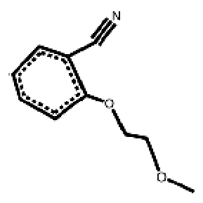 COCCOc1cc[c]cc1C#N